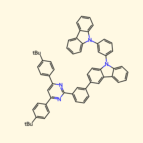 CC(C)(C)c1ccc(-c2cc(-c3ccc(C(C)(C)C)cc3)nc(-c3cccc(-c4ccc5c(c4)c4ccccc4n5-c4cccc(-n5c6ccccc6c6ccccc65)c4)c3)n2)cc1